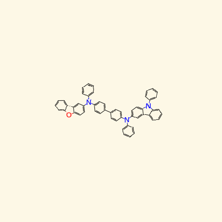 c1ccc(N(c2ccc(-c3ccc(N(c4ccccc4)c4ccc5c(c4)c4ccccc4n5-c4ccccc4)cc3)cc2)c2ccc3oc4ccccc4c3c2)cc1